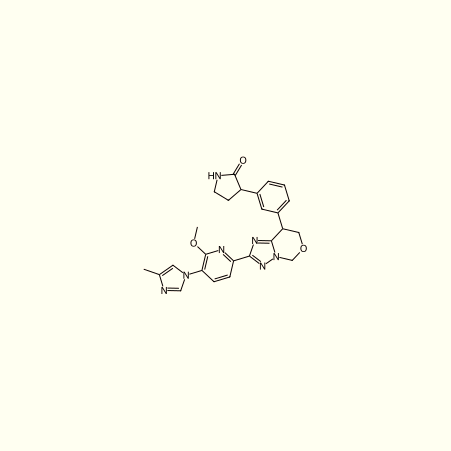 COc1nc(-c2nc3n(n2)COCC3c2cccc(C3CCNC3=O)c2)ccc1-n1cnc(C)c1